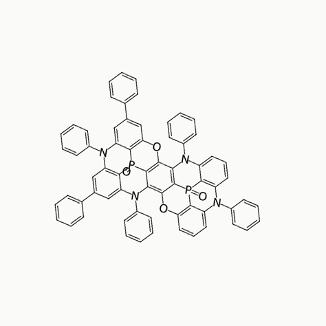 O=P12c3c4cccc3N(c3ccccc3)c3cccc(c31)N(c1ccccc1)c1c3c5c(c(c12)O4)N(c1ccccc1)c1cc(-c2ccccc2)cc2c1P5(=O)c1c(cc(-c4ccccc4)cc1N2c1ccccc1)O3